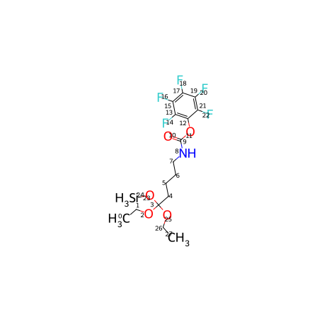 CCOC(CCCCNC(=O)Oc1c(F)c(F)c(F)c(F)c1F)(O[SiH3])OCC